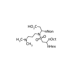 CCCCCCCCCC(CC(=O)O)N(CCCN(C)C)S(=O)(=O)CC(CCCCCC)CCCCCCCC